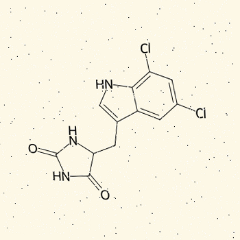 O=C1NC(=O)C(Cc2c[nH]c3c(Cl)cc(Cl)cc23)N1